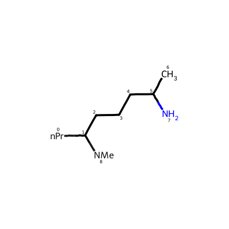 CCCC(CCCC(C)N)NC